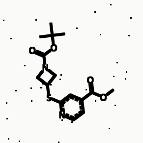 COC(=O)c1ccnc(SC2CN(C(=O)OC(C)(C)C)C2)c1